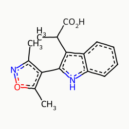 Cc1noc(C)c1-c1[nH]c2ccccc2c1C(C)C(=O)O